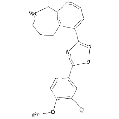 CC(C)Oc1ccc(-c2nc(-c3cccc4c3CCCNC4)no2)cc1Cl